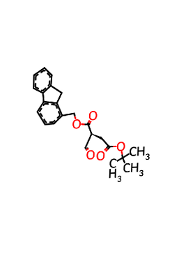 CC(C)(C)OC(=O)C[C@@H](C=O)C(=O)OCc1cccc2c1Cc1ccccc1-2